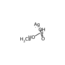 O=[Si](O)O.[Ag].[CaH2]